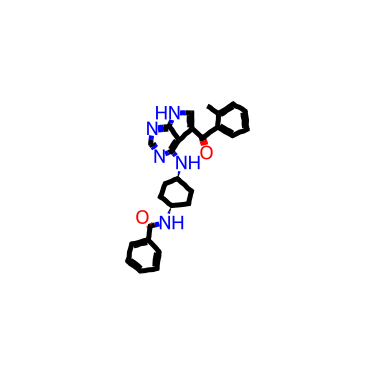 Cc1ccccc1C(=O)c1c[nH]c2ncnc(N[C@H]3CC[C@@H](NC(=O)c4ccccc4)CC3)c12